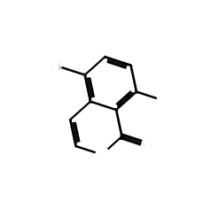 O=c1o[c]cc2c(Cl)ccc(Cl)c12